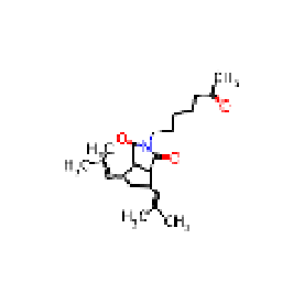 CC(=O)CCCCCN1C(=O)C2C(C=C(C)C)CC(C=C(C)C)C2C1=O